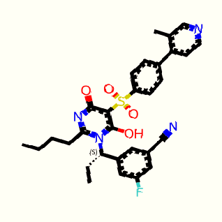 CCCCc1nc(=O)c(S(=O)(=O)c2ccc(-c3ccncc3C)cc2)c(O)n1[C@@H](CC)c1cc(F)cc(C#N)c1